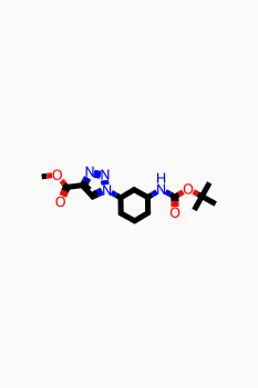 COC(=O)c1cn(C2CCCC(NC(=O)OC(C)(C)C)C2)nn1